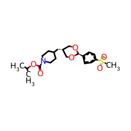 CC(C)OC(=O)N1CCC(C[C@H]2CO[C@H](c3ccc(S(C)(=O)=O)cc3)OC2)CC1